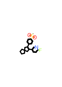 CS(=O)(=O)c1ccc(C2=C(c3ccc(F)nc3)CC3(CCCC3)C2)cc1